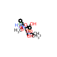 COC(=O)N(C(=O)[C@@H](N)Cc1ccccc1Cl)[C@H](CCC[C@@H](CO)N(CCC(C)C)S(=O)(=O)c1ccc(CO)cc1)C1CC1